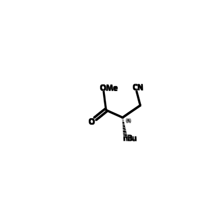 CCCC[C@@H](CC#N)C(=O)OC